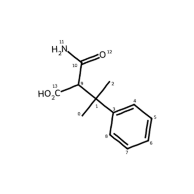 CC(C)(c1ccccc1)C(C(N)=O)C(=O)O